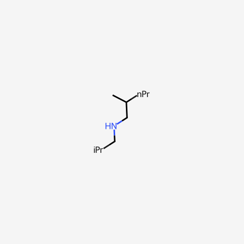 CCCC(C)CNCC(C)C